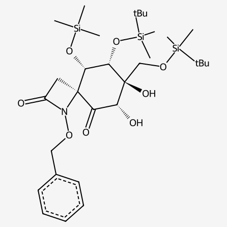 CC(C)(C)[Si](C)(C)OC[C@]1(O)[C@H](O)C(=O)[C@]2(CC(=O)N2OCc2ccccc2)[C@H](O[Si](C)(C)C)[C@@H]1O[Si](C)(C)C(C)(C)C